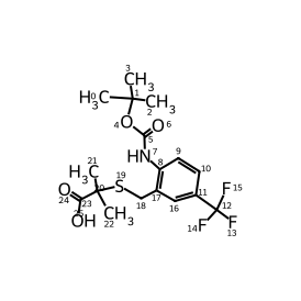 CC(C)(C)OC(=O)Nc1ccc(C(F)(F)F)cc1CSC(C)(C)C(=O)O